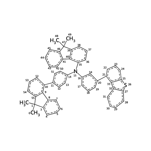 CC1(C)c2ccccc2-c2c(-c3ccc(N(c4cccc(-c5cccc6sc7ccccc7c56)c4)c4cccc5c4-c4ccccc4C5(C)C)cc3)cccc21